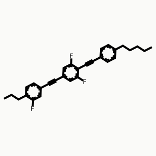 CCCCCc1ccc(C#Cc2c(F)cc(C#Cc3ccc(CCC)c(F)c3)cc2F)cc1